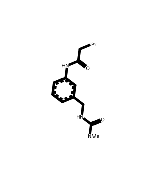 CNC(=O)NCc1cccc(NC(=O)CC(C)C)c1